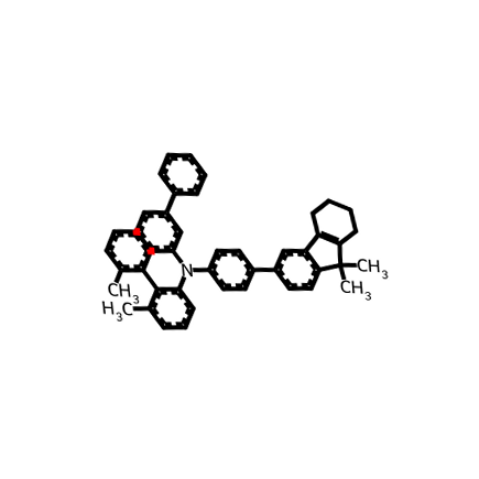 Cc1ccccc1-c1c(C)cccc1N(c1ccc(-c2ccc3c(c2)C2=C(CCCC2)C3(C)C)cc1)c1cccc(-c2ccccc2)c1